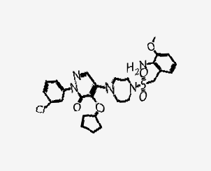 COc1cccc(CS(=O)(=O)N2CCN(c3cnn(-c4cccc(Cl)c4)c(=O)c3OC3CCCC3)CC2)c1N